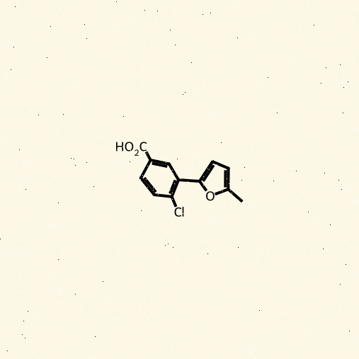 Cc1ccc(-c2cc(C(=O)O)ccc2Cl)o1